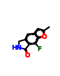 Cc1cc2cc3c(c(F)c2o1)C(=O)NC3